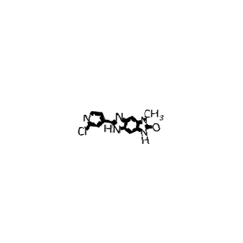 Cn1c(=O)[nH]c2cc3[nH]c(-c4ccnc(Cl)c4)nc3cc21